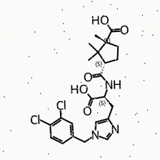 CC1(C)[C@@H](C(=O)N[C@@H](Cc2cn(Cc3ccc(Cl)c(Cl)c3)cn2)C(=O)O)CC[C@@]1(C)C(=O)O